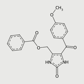 COc1ccc(C(=O)c2[nH]c(=O)[nH]c2COC(=O)c2ccccc2)cc1